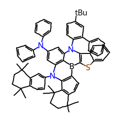 CC(C)(C)c1ccc(N2c3cc(N(c4ccccc4)c4ccccc4)cc4c3B(c3ccc5c(c3N4c3ccc4c(c3)C(C)(C)CCC4(C)C)C(C)(C)CCC5(C)C)c3sc4ccccc4c32)c(-c2ccccc2)c1